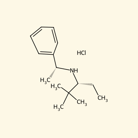 CC[C@@H](N[C@H](C)c1ccccc1)C(C)(C)C.Cl